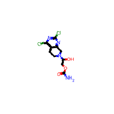 NC(=O)OCC(O)N1CCc2c(Cl)nc(Cl)nc2C1